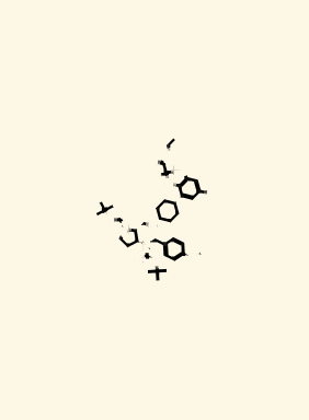 CCOC(=O)C(F)(F)Oc1c(F)cc(F)cc1[C@H]1CC[C@@H](OC[C@H]2[C@@H](N(Cc3ccc(OC)cc3)C(=O)OC(C)(C)C)CCN2C(=O)OC(C)(C)C)CC1